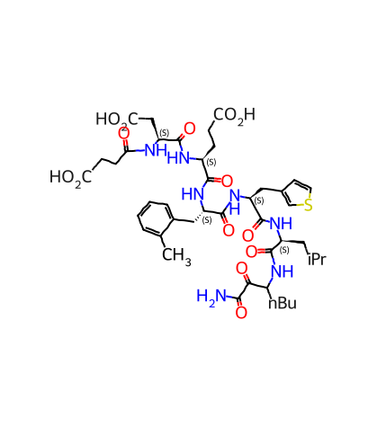 CCCCC(NC(=O)[C@H](CC(C)C)NC(=O)[C@H](Cc1ccsc1)NC(=O)[C@H](Cc1ccccc1C)NC(=O)[C@H](CCC(=O)O)NC(=O)[C@H](CC(=O)O)NC(=O)CCC(=O)O)C(=O)C(N)=O